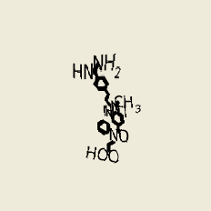 Cl.Cn1c(CCc2ccc(C(=N)N)cc2)nc2cc(C(=O)N(CCC(=O)O)c3ccccc3)ccc21